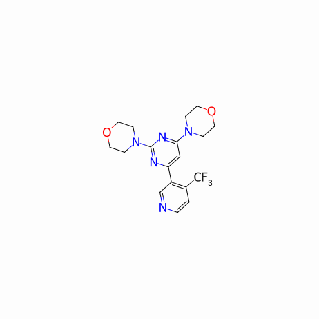 FC(F)(F)c1ccncc1-c1cc(N2CCOCC2)nc(N2CCOCC2)n1